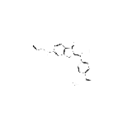 C=CCOc1ccc2c(c1)C/C(=C(/O)c1ccc(C(=O)OC)cc1)C2=O